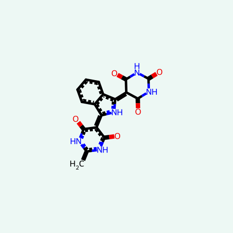 C=c1[nH]c(=O)c(=c2[nH]c(=C3C(=O)NC(=O)NC3=O)c3ccccc23)c(=O)[nH]1